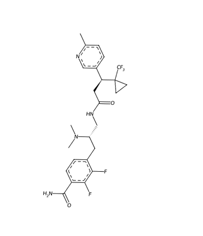 Cc1ccc([C@H](CC(=O)NC[C@H](Cc2ccc(C(N)=O)c(F)c2F)N(C)C)C2(C(F)(F)F)CC2)cn1